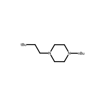 CCCCN1CCN(CCC(C)(C)C)CC1